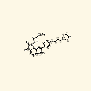 COC1CC(n2c(=O)n(C)c3cnc4cc(F)c(-c5ccc(OCCCN6CCCC6)nc5)cc4c32)C1